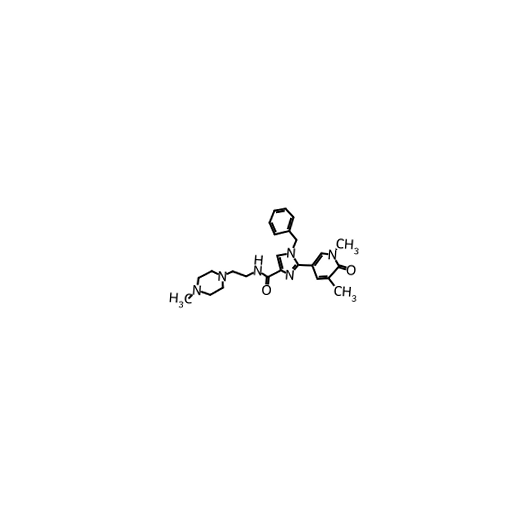 Cc1cc(-c2nc(C(=O)NCCN3CCN(C)CC3)cn2Cc2ccccc2)cn(C)c1=O